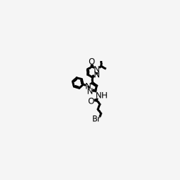 CC(C)n1nc(-c2cc(NC(=O)CCCBr)nn2-c2ccccc2)ccc1=O